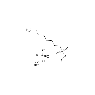 CCCCCCCCS(=O)(=O)OF.O=P([O-])([O-])O.[Na+].[Na+]